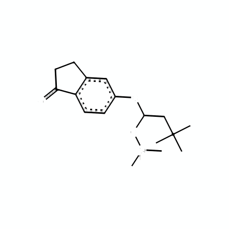 C[SiH](C)OC(CC(C)(C)C)Oc1ccc2c(c1)CCC2=O